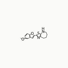 COc1ccc2oc(-c3nc4c(s3)NCCCC4)cc2c1